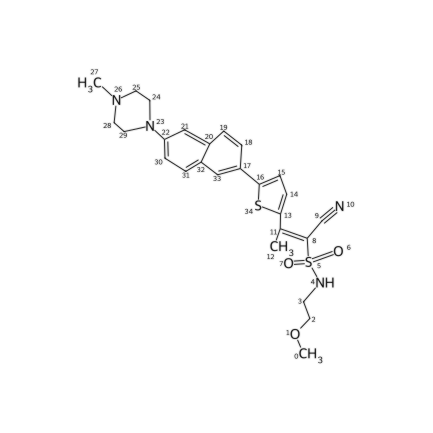 COCCNS(=O)(=O)/C(C#N)=C(\C)c1ccc(-c2ccc3cc(N4CCN(C)CC4)ccc3c2)s1